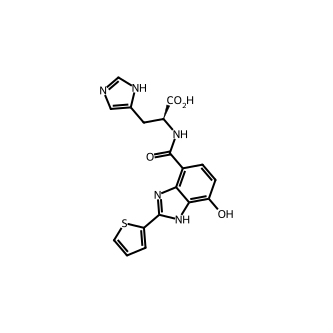 O=C(N[C@@H](Cc1cnc[nH]1)C(=O)O)c1ccc(O)c2[nH]c(-c3cccs3)nc12